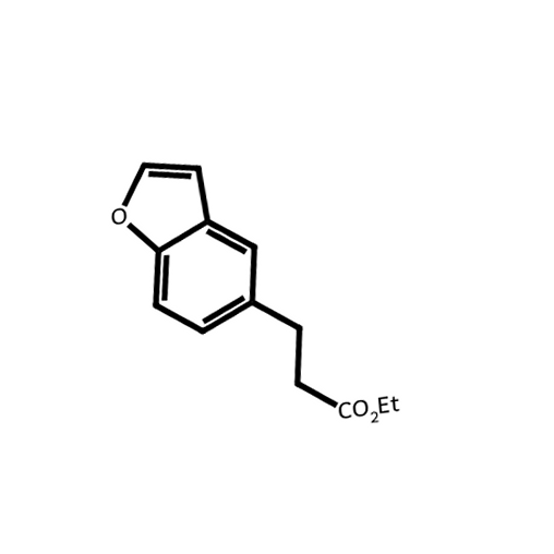 CCOC(=O)CCc1ccc2occc2c1